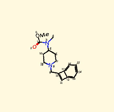 COC(=O)N(C)C1CCN(CC2=Cc3ccccc32)CC1